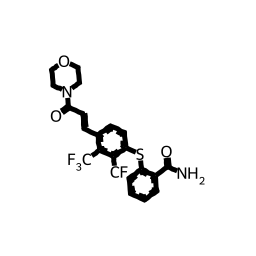 NC(=O)c1ccccc1Sc1ccc(C=CC(=O)N2CCOCC2)c(C(F)(F)F)c1C(F)(F)F